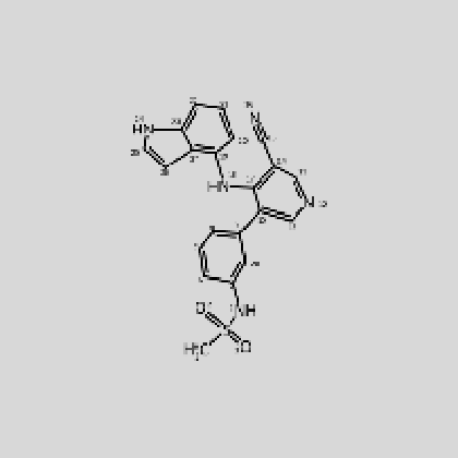 CS(=O)(=O)Nc1cccc(-c2cncc(C#N)c2Nc2cccc3[nH]ccc23)c1